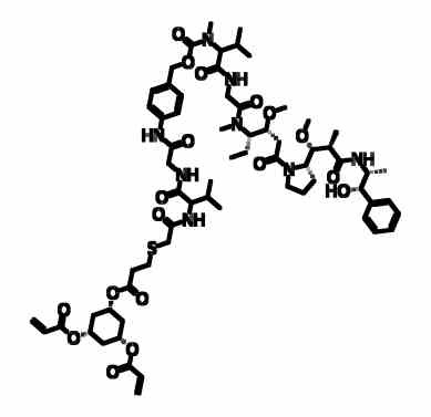 C=CC(=O)O[C@@H]1C[C@H](OC(=O)C=C)C[C@H](OC(=O)CCSCC(=O)NC(C(=O)NCC(=O)Nc2ccc(COC(=O)N(C)C(C(=O)NCC(=O)N(C)[C@@H](CC)[C@@H](CC(=O)N3CCC[C@H]3[C@H](OC)[C@@H](C)C(=O)N[C@H](C)[C@@H](O)c3ccccc3)OC)C(C)C)cc2)C(C)C)C1